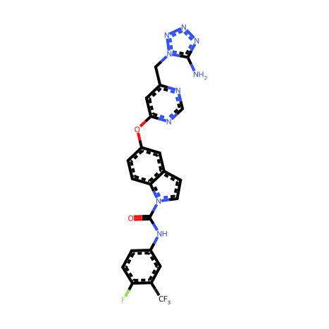 Nc1nnnn1Cc1cc(Oc2ccc3c(ccn3C(=O)Nc3ccc(F)c(C(F)(F)F)c3)c2)ncn1